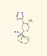 NC1(C2CCC([N+](=O)[O-])C(c3cnccn3)C2)C2CC3CC(C2)CC1C3